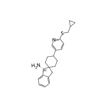 N[C@H]1c2ccccc2CC12CCC(c1ccc(SCC3CC3)nc1)CC2